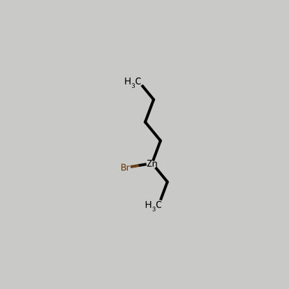 CCC[CH2][Zn]([Br])[CH2]C